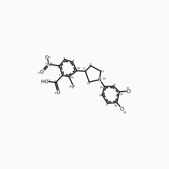 O=C(O)c1c([N+](=O)[O-])ccc(C2CCN(c3ccc(Cl)c(Cl)c3)C2)c1F